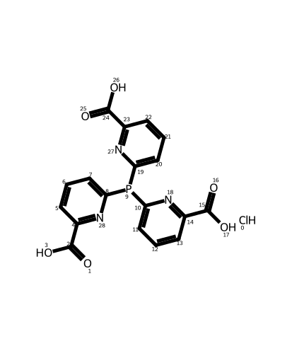 Cl.O=C(O)c1cccc(P(c2cccc(C(=O)O)n2)c2cccc(C(=O)O)n2)n1